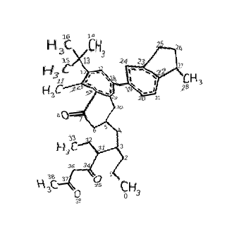 CCCC(CC1CC(=O)c2c(C)c(C(C)(C)C)cc(-c3ccc4c(c3)CCC4C)c2C1)C(CC)C(=O)CC(C)=O